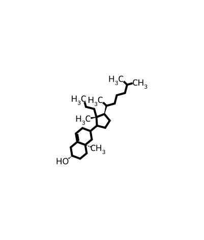 CCC[C@@]1(C)C(C2CC=C3C[C@@H](O)CC[C@]3(C)C2)CC[C@@H]1C(C)CCCC(C)C